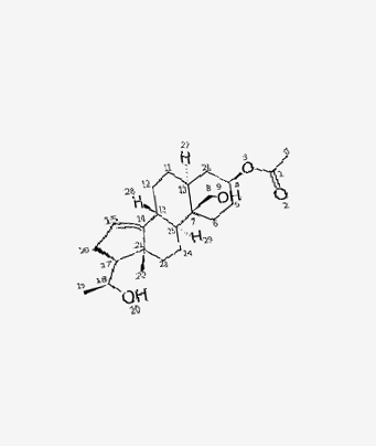 CC(=O)O[C@H]1CC[C@@]2(CO)[C@@H](CC[C@H]3C4=CC[C@H]([C@H](C)O)[C@@]4(C)CC[C@@H]32)C1